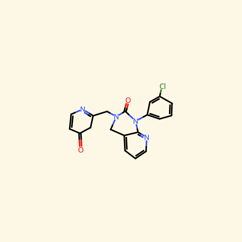 O=C1C=CN=C(CN2Cc3cccnc3N(c3cccc(Cl)c3)C2=O)C1